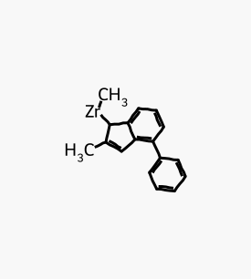 [CH3][Zr][CH]1C(C)=Cc2c(-c3ccccc3)cccc21